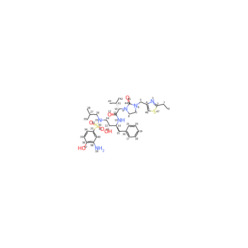 CCc1nc(CN2CCN([C@H](C(=O)N[C@@H](Cc3ccccc3)[C@H](O)CN(CC(C)C)S(=O)(=O)c3ccc(O)c(N)c3)C(C)C)C2=O)cs1